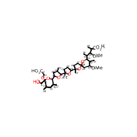 CCC1(C2OC(C3OC(CO)(OCC(=O)O)C(C)CC3C)CC2C)CCC(C2(C)CCC3(CC(OC)C(C)C(C(C)C(OC)C(C)C(=O)O)O3)O2)O1